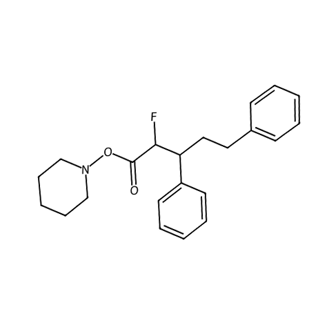 O=C(ON1CCCCC1)C(F)C(CCc1ccccc1)c1ccccc1